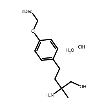 CCCCCCCCCCCOc1ccc(CCC(C)(N)CO)cc1.Cl.O